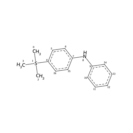 CS(C)(C)c1ccc(Nc2ccccc2)cc1